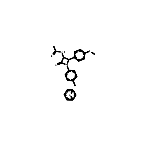 COc1ccc(C2C(NC(C)=O)C(=O)N2c2ccc(C)cc2)cc1.c1cc2cc(c1)O2